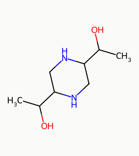 CC(O)C1CNC(C(C)O)CN1